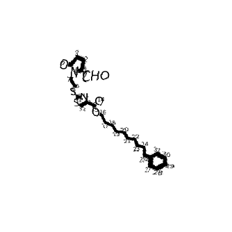 O=C[C@H]1CCC(=O)N1CCSc1nc(C(=O)OCCCCCCCCCCc2ccccc2)cs1